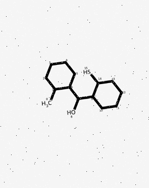 CC1CCCCC1C(O)C1CCCCC1S